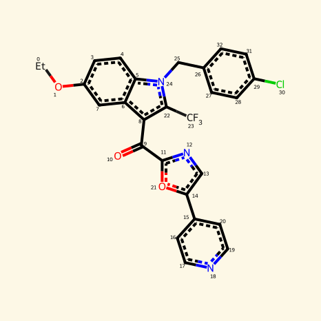 CCOc1ccc2c(c1)c(C(=O)c1ncc(-c3ccncc3)o1)c(C(F)(F)F)n2Cc1ccc(Cl)cc1